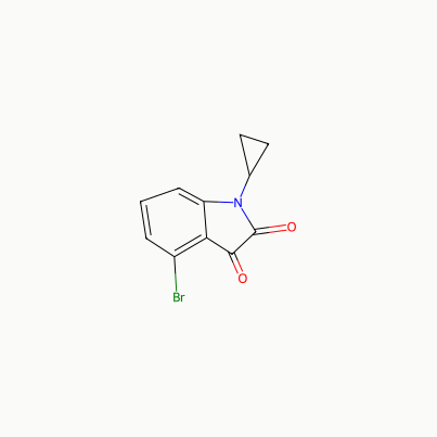 O=C1C(=O)N(C2CC2)c2cccc(Br)c21